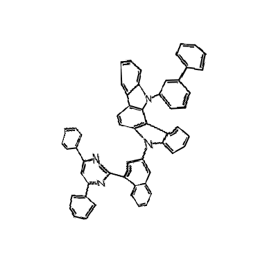 c1ccc(-c2cccc(-n3c4ccccc4c4ccc5c(c6ccccc6n5-c5cc(-c6nc(-c7ccccc7)cc(-c7ccccc7)n6)c6ccccc6c5)c43)c2)cc1